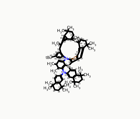 CC1C=C2C3=C(C1C)N(c1ccc4c(c1)C(C)(C)CCC4(C)C)c1cc4c(cc1B3c1c3sc5cc6c(cc15)C(C)(C)CCC6(C)CC1(C)CCC(C)(C)C5=CC(c6cc(C(C)(C)C)ccc6N23)C(C)C=C51)C(C)(C)CCC4(C)C